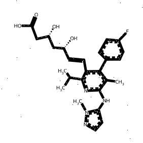 Cc1c(Nc2ccnn2C)nc(C(C)C)c(/C=C/[C@@H](O)C[C@@H](O)CC(=O)O)c1-c1ccc(F)cc1